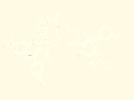 CC1(C(=O)N(CCCN2CC(Nc3cccc(C(F)(F)F)c3)=C([C@H](N)c3ccc(N)cc3)C2=O)CCCN2CC(Nc3cccc(C(F)(F)F)c3)=C([C@H](N)c3ccc(N)cc3)C2=O)CCN2CC1C2